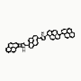 c1cc2ccc3ccc(-c4ccc5ccc6c(-c7ccc(-c8ccc9ccc%10c(-c%11cc%12c%13cc%14ccc%15cccc%16ccc(c%13c%12[nH]%11)c%14c%15%16)ccc%11ccc8c9c%11%10)[nH]7)ccc7ccc4c5c76)c4ccc(c1)c2c34